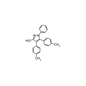 Cc1ccc(-c2c(O)nn(-c3ccccc3)c2-c2ccc(C)cc2)cc1